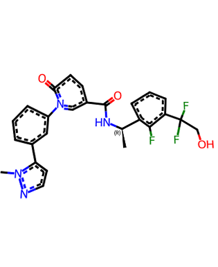 C[C@@H](NC(=O)c1ccc(=O)n(-c2cccc(-c3ccnn3C)c2)c1)c1cccc(C(F)(F)CO)c1F